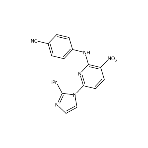 CC(C)c1nccn1-c1ccc([N+](=O)[O-])c(Nc2ccc(C#N)cc2)n1